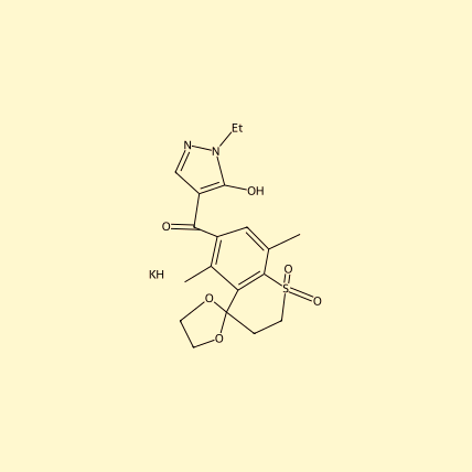 CCn1ncc(C(=O)c2cc(C)c3c(c2C)C2(CCS3(=O)=O)OCCO2)c1O.[KH]